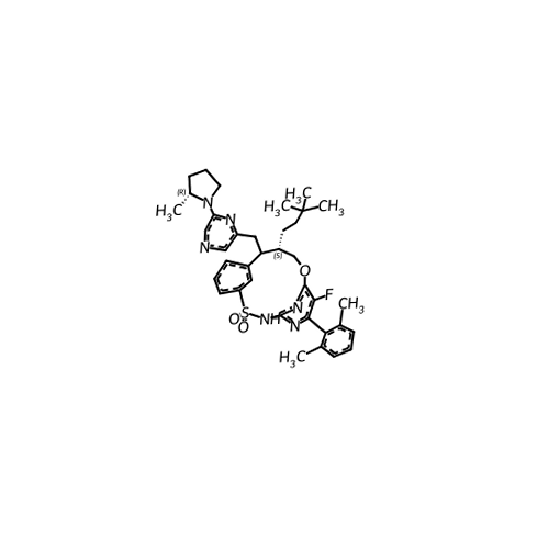 Cc1cccc(C)c1-c1nc2nc(c1F)OC[C@@H](CCC(C)(C)C)C(Cc1cncc(N3CCC[C@H]3C)n1)c1cccc(c1)S(=O)(=O)N2